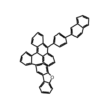 c1ccc(-c2c3ccccc3c(-c3ccc(-c4ccc5ccccc5c4)cc3)c3ccccc23)c(-c2ccc3oc4ccccc4c3c2)c1